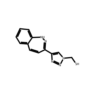 SCn1cc(C2=NNc3ccccc3C=C2)nn1